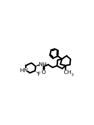 CC12CCCC(c3ccccc3)(CC(CCC(=O)N[C@@H]3CCNC[C@H]3F)C1)C2